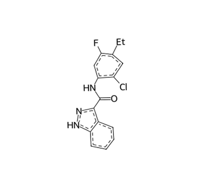 [CH2]Cc1cc(Cl)c(NC(=O)c2n[nH]c3ccccc23)cc1F